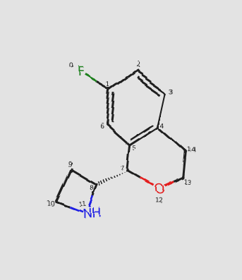 Fc1ccc2c(c1)[C@@H](C1CCN1)OCC2